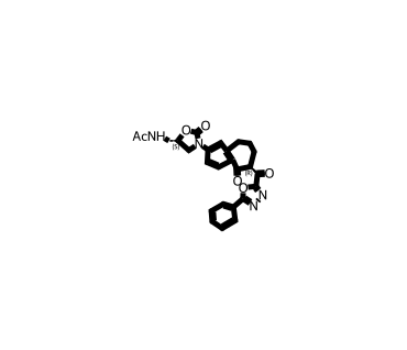 CC(=O)NC[C@H]1CN(c2ccc3c(c2)CCC[C@@H](C(=O)c2nnc(-c4ccccc4)o2)C3=O)C(=O)O1